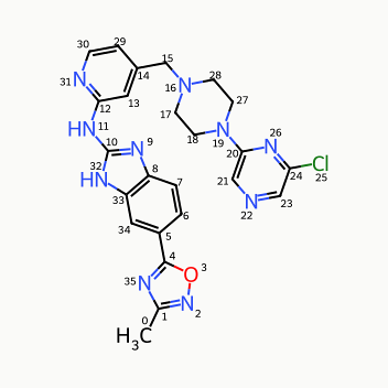 Cc1noc(-c2ccc3nc(Nc4cc(CN5CCN(c6cncc(Cl)n6)CC5)ccn4)[nH]c3c2)n1